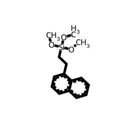 CO[Si](CCc1cccc2ccccc12)(OC)OC